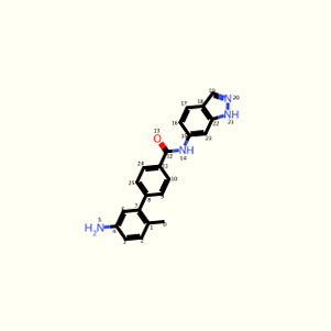 Cc1ccc(N)cc1-c1ccc(C(=O)Nc2ccc3cn[nH]c3c2)cc1